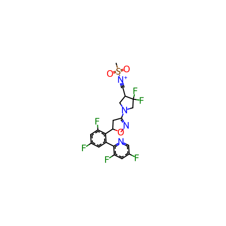 CS(=O)(=O)[N+]#CC1CN(C2=NOC(c3c(F)cc(F)cc3-c3ncc(F)cc3F)C2)CC1(F)F